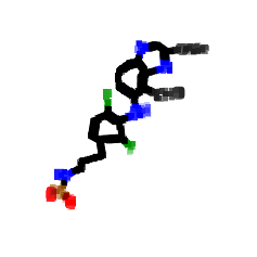 COc1cnc2ccc(Nc3c(F)ccc(CCCN[SH](=O)=O)c3F)c(C=O)c2n1